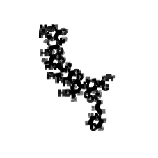 CCCC(=O)N(C)[C@H](C[S+]([O-])CCCN1CCOCC1)C(=O)N(C)[C@@H](CC(C)(C)O)C(=O)N[C@H](C(=O)N(C)[C@H](CC(C)C)C(=O)N[C@@H](C)C(=O)N[C@H](C)C(=O)N(C)[C@H](CC(C)C)C(=O)NC)C(C)C